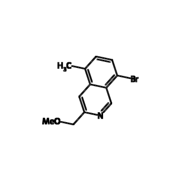 COCc1cc2c(C)ccc(Br)c2cn1